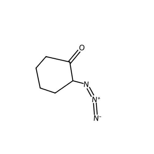 [N-]=[N+]=NC1CCCCC1=O